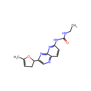 CCNC(=O)Nc1ccc2ncc(C3CC=C(C)O3)nc2n1